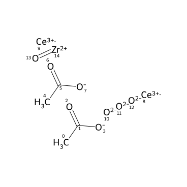 CC(=O)[O-].CC(=O)[O-].[Ce+3].[Ce+3].[O-2].[O-2].[O-2].[O]=[Zr+2]